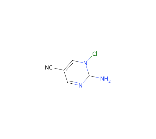 N#CC1=CN(Cl)C(N)N=C1